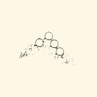 CC(O)C(=O)[O-].CC(O)C(=O)[O-].CC(O)C(=O)[O-].CC([O-])C(=O)[O-].O=C([O-])C1(O)CCCCCCCC1.O=C([O-])C1(O)CCCCCCCC1.O=C([O-])C1(O)CCCCCCCC1.O=C([O-])C1(O)CCCCCCCC1.[NH4+].[Ti+4].[Ti+4]